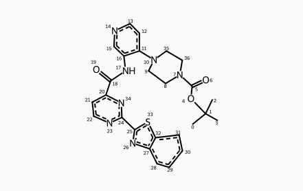 CC(C)(C)OC(=O)N1CCN(c2ccncc2NC(=O)c2ccnc(-c3nc4ccccc4s3)n2)CC1